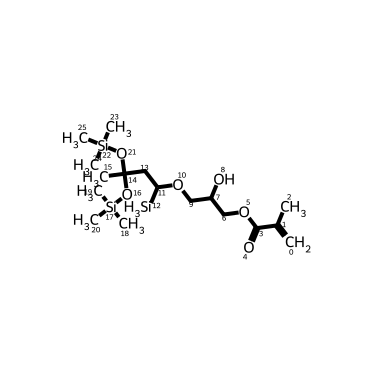 C=C(C)C(=O)OCC(O)COC([SiH3])CC(C)(O[Si](C)(C)C)O[Si](C)(C)C